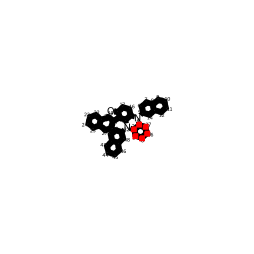 c1ccc(N(c2ccc3ccccc3c2)c2ccc3oc4c5ccccc5ccc4c3c2N(c2ccccc2)c2ccc3ccccc3c2)cc1